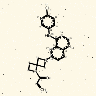 C=CC(=O)N1CCC12CN(c1ccc3ncnc(Nc4ccc(C(F)(F)F)nc4)c3n1)C2